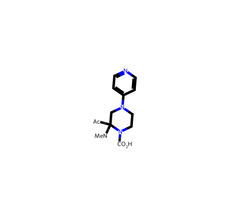 CNC1(C(C)=O)CN(c2ccncc2)CCN1C(=O)O